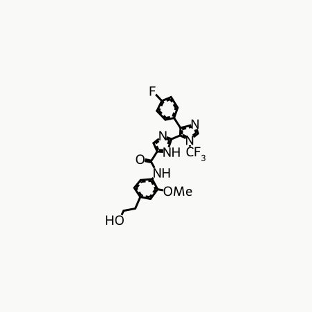 COc1cc(CCO)ccc1NC(=O)c1cnc(-c2c(-c3ccc(F)cc3)ncn2C(F)(F)F)[nH]1